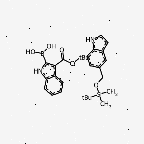 CC(C)(C)OC(=O)c1c(B(O)O)[nH]c2ccccc12.CC(C)(C)[Si](C)(C)OCc1ccc2[nH]ccc2c1